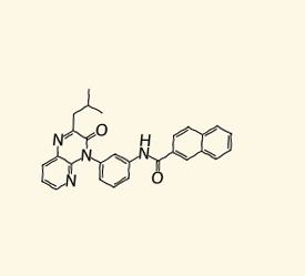 CC(C)Cc1nc2cccnc2n(-c2cccc(NC(=O)c3ccc4ccccc4c3)c2)c1=O